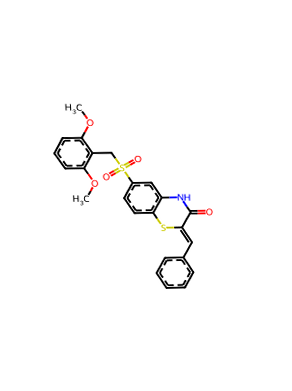 COc1cccc(OC)c1CS(=O)(=O)c1ccc2c(c1)NC(=O)C(=Cc1ccccc1)S2